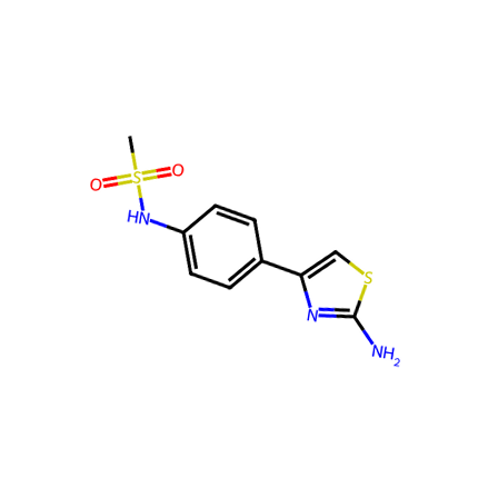 CS(=O)(=O)Nc1ccc(-c2csc(N)n2)cc1